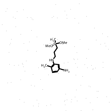 CO[Si](C)(CCCNc1cc(N)ccc1C)OC